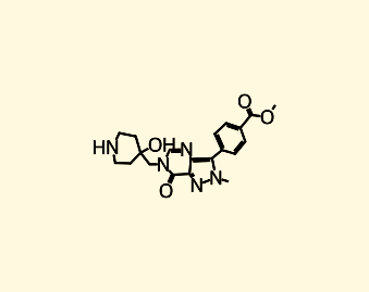 COC(=O)c1ccc(-c2c3ncn(CC4(O)CCNCC4)c(=O)c3nn2C)cc1